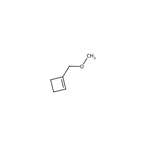 COCC1=CCC1